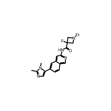 CCN1CC(F)(C(=O)Nc2cc3cc(-c4cnc(C)n4C)ccc3cn2)C1